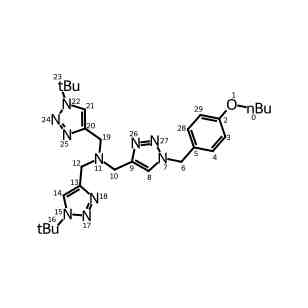 CCCCOc1ccc(Cn2cc(CN(Cc3cn(C(C)(C)C)nn3)Cc3cn(C(C)(C)C)nn3)nn2)cc1